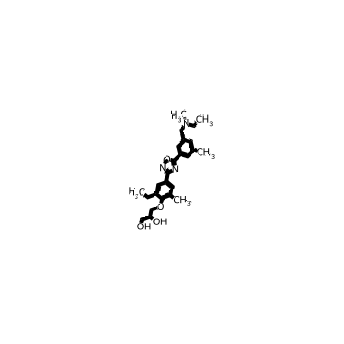 CCc1cc(-c2noc(-c3cc(C)cc(CN(C)CC)c3)n2)cc(C)c1OCC(O)CO